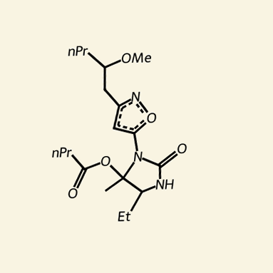 CCCC(=O)OC1(C)C(CC)NC(=O)N1c1cc(CC(CCC)OC)no1